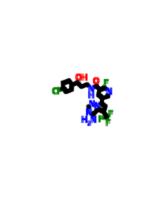 Nc1ncnn2c(-c3cnc(F)c(C(=O)NCC[C@H](O)c4ccc(Cl)cc4)c3)cc(C(F)(F)F)c12